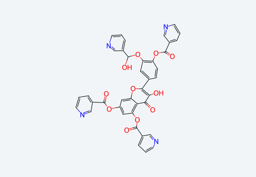 O=C(Oc1cc(OC(=O)c2cccnc2)c2c(=O)c(O)c(-c3ccc(OC(=O)c4cccnc4)c(OC(O)c4cccnc4)c3)oc2c1)c1cccnc1